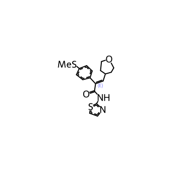 CSc1ccc(/C(=C\C2CCOCC2)C(=O)Nc2nccs2)cc1